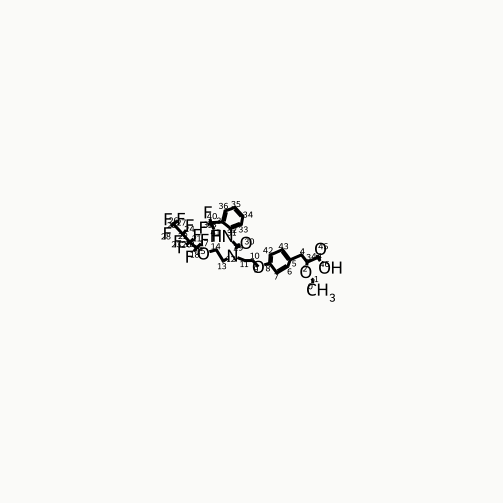 CCOC(Cc1ccc(OCCN(CCOC(F)(F)C(F)(F)C(F)(F)C(F)(F)F)C(=O)Nc2ccccc2C(F)(F)F)cc1)C(=O)O